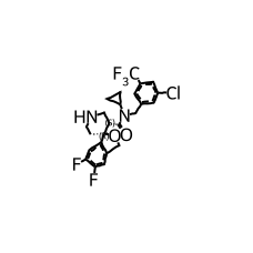 O=C([C@H]1CNCC[C@@]12OCc1cc(F)c(F)cc12)N(Cc1cc(Cl)cc(C(F)(F)F)c1)C1CC1